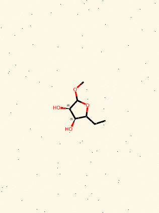 CCC1OC(OC)[C@H](O)[C@@H]1O